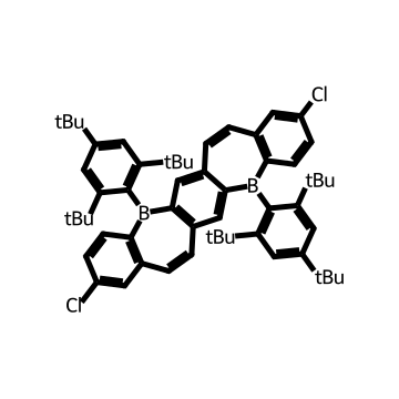 CC(C)(C)c1cc(C(C)(C)C)c(B2c3ccc(Cl)cc3C=Cc3cc4c(cc32)C=Cc2cc(Cl)ccc2B4c2c(C(C)(C)C)cc(C(C)(C)C)cc2C(C)(C)C)c(C(C)(C)C)c1